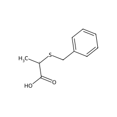 C[C](SCc1ccccc1)C(=O)O